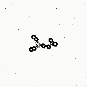 c1cc(-c2ccc(-c3nc(-c4ccc5ccccc5c4)nc(-c4ccc5ccccc5c4)n3)cc2)cc(-n2c3ccccc3c3ccccc32)c1